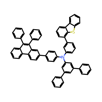 c1ccc(-c2cc(-c3ccccc3)cc(N(c3ccc(-c4ccc5c(c4)c(-c4ccccc4)c(-c4ccccc4)c4ccccc45)cc3)c3cccc(-c4cccc5c4sc4ccccc45)c3)c2)cc1